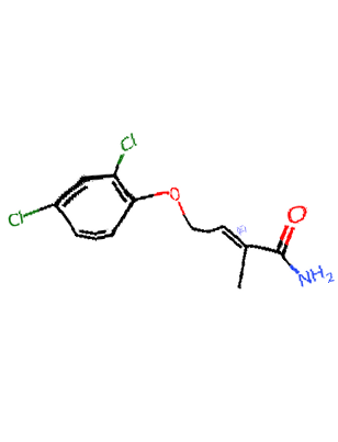 C/C(=C\COc1ccc(Cl)cc1Cl)C(N)=O